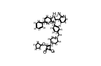 Nc1ncccc1-c1nc2ccc(-c3ccccc3)nc2n1-c1ccc(CN2CCN(c3c(OC4CCCC4)c(=O)c3=O)CC2)cc1